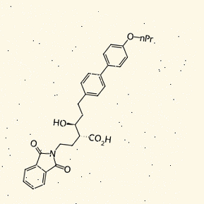 CCCOc1ccc(-c2ccc(CC[C@H](O)[C@@H](CCN3C(=O)c4ccccc4C3=O)C(=O)O)cc2)cc1